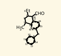 CCC1CC(C)c2nc(Cc3ccccc3)ccc2C1C=O